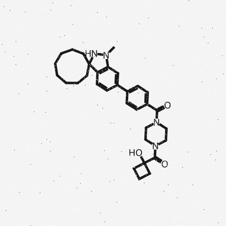 CN1NC2(CCCCCCCC2)c2ccc(-c3ccc(C(=O)N4CCN(C(=O)C5(O)CCC5)CC4)cc3)cc21